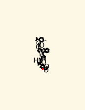 Cc1ccccc1[C@@H](c1cnc(NC(=O)C2(c3ccc4c(c3)OCO4)CC2)s1)N1CC[C@@H](OC(=O)O[C@H]2C[C@@H](C)CC[C@@H]2C(C)C)C1